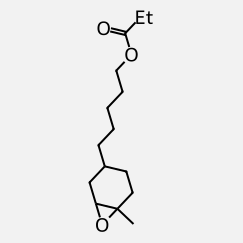 CCC(=O)OCCCCCC1CCC2(C)OC2C1